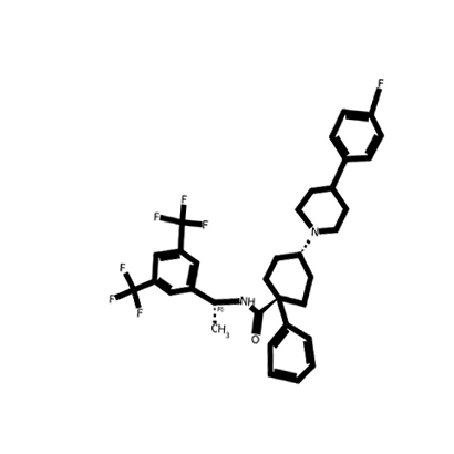 C[C@@H](NC(=O)[C@]1(c2ccccc2)CC[C@@H](N2CCC(c3ccc(F)cc3)CC2)CC1)c1cc(C(F)(F)F)cc(C(F)(F)F)c1